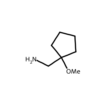 COC1(CN)CCCC1